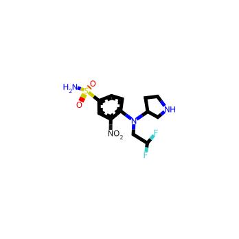 NS(=O)(=O)c1ccc(N(CC(F)F)C2CCNC2)c([N+](=O)[O-])c1